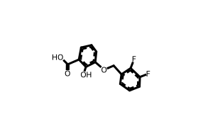 O=C(O)c1cccc(OCc2cccc(F)c2F)c1O